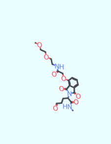 CNC(=O)C(CCC=O)N1C(=O)c2cccc(OCC(=O)NCCOCCOC)c2C1=O